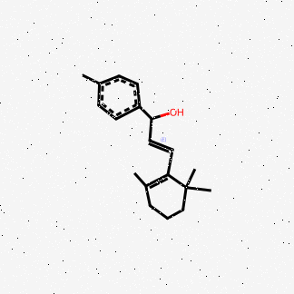 CC1=C(/C=C/C(O)c2ccc(C)cc2)C(C)(C)CCC1